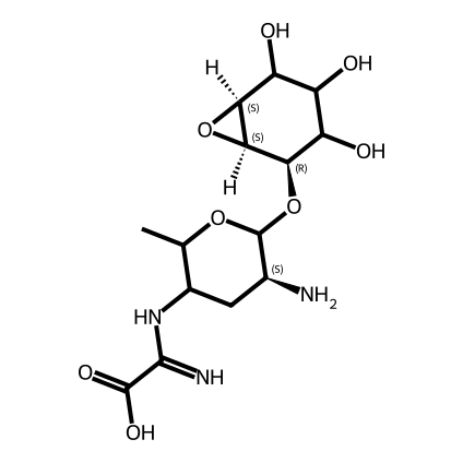 CC1OC(O[C@@H]2C(O)C(O)C(O)[C@@H]3O[C@H]23)[C@@H](N)CC1NC(=N)C(=O)O